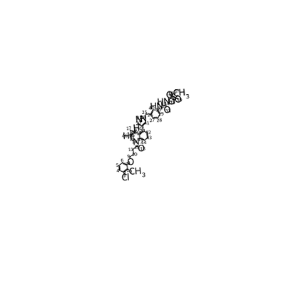 Cc1c(Cl)cccc1OCCCC(=O)N1C[C@@H]2C[C@@H]2c2c(-c3cnn(Cc4cccc(NC(=O)NOS(C)(=O)=O)c4)c3)cccc21